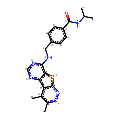 Cc1nnc2sc3c(NCc4ccc(C(=O)NC(C)C)cc4)ncnc3c2c1C